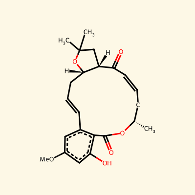 COc1cc(O)c2c(c1)/C=C/C[C@@H]1OC(C)(C)C[C@@H]1C(=O)/C=C\C[C@H](C)OC2=O